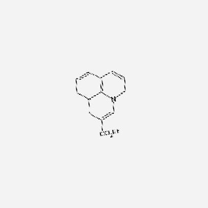 CCOC(=O)C1=CN2CC=CC3=C2C(CC=C3)C1